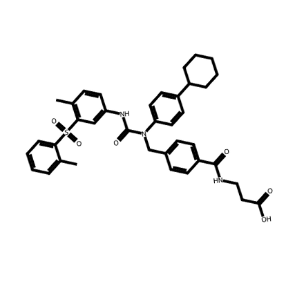 Cc1ccccc1S(=O)(=O)c1cc(NC(=O)N(Cc2ccc(C(=O)NCCC(=O)O)cc2)c2ccc(C3CCCCC3)cc2)ccc1C